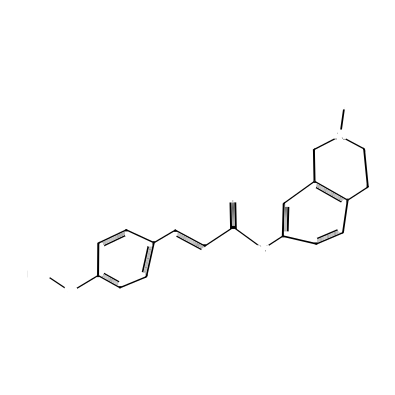 COc1ccc(/C=C/C(=O)Nc2ccc3c(c2)CN(C)CC3)cc1